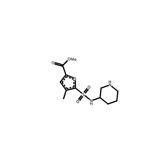 COC(=O)c1cc(C)c(S(=O)(=O)NC2CCCNC2)s1